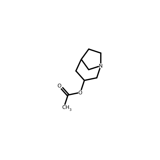 CC(=O)OC1CC2CCN(C2)C1